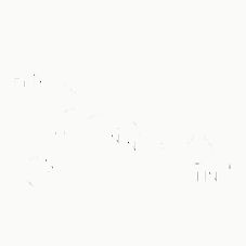 CCN(CC)C1C=CC(/C=C/c2cc(/C=C/c3ccc4cc[nH]c4c3)[nH]n2)=C(OCc2ccccn2)C1